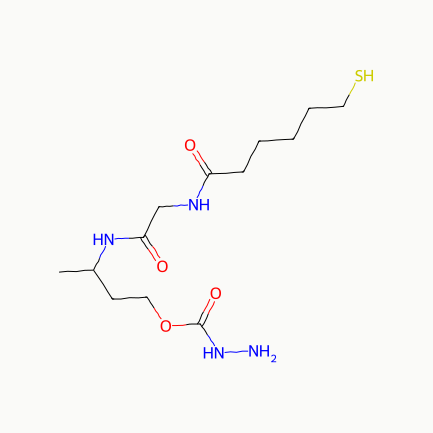 CC(CCOC(=O)NN)NC(=O)CNC(=O)CCCCCS